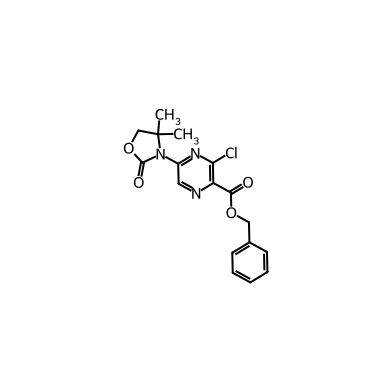 CC1(C)COC(=O)N1c1cnc(C(=O)OCc2ccccc2)c(Cl)n1